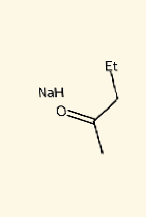 CCCC(C)=O.[NaH]